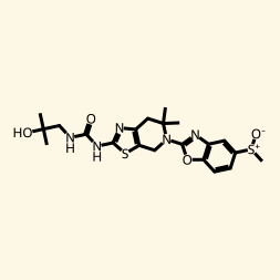 C[S+]([O-])c1ccc2oc(N3Cc4sc(NC(=O)NCC(C)(C)O)nc4CC3(C)C)nc2c1